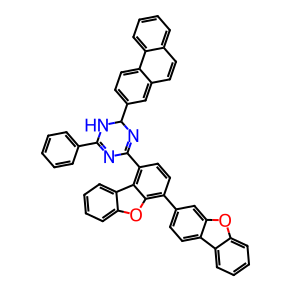 c1ccc(C2=NC(c3ccc(-c4ccc5c(c4)oc4ccccc45)c4oc5ccccc5c34)=NC(c3ccc4c(ccc5ccccc54)c3)N2)cc1